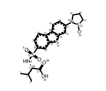 CC(C)[C@H](NS(=O)(=O)c1ccc2c(c1)sc1cc(N3CCC[S+]3[O-])ccc12)C(=O)O